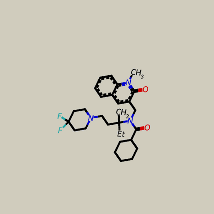 CCC(C)(CCN1CCC(F)(F)CC1)N(Cc1cc2ccccc2n(C)c1=O)C(=O)C1CCCCC1